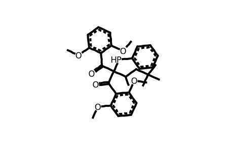 COc1cccc(OC)c1C(=O)C(Pc1ccccc1)(C(=O)c1c(OC)cccc1OC)C(C)CC(C)(C)C